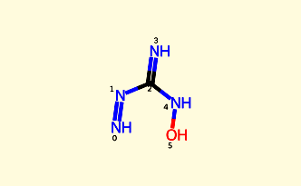 N=NC(=N)NO